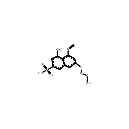 C=Nc1cc(SOOO)cc2cc(S(=O)(=O)O)cc(O)c12